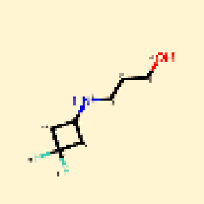 OCCCNC1CC(F)(F)C1